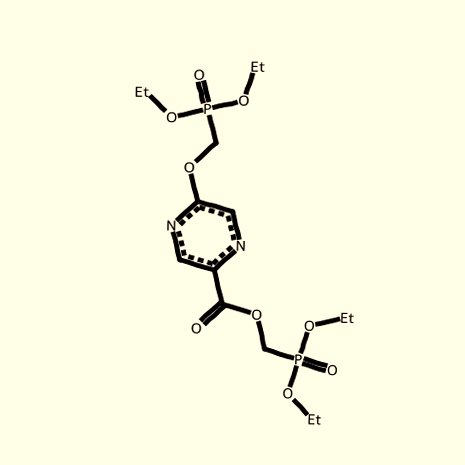 CCOP(=O)(COC(=O)c1cnc(OCP(=O)(OCC)OCC)cn1)OCC